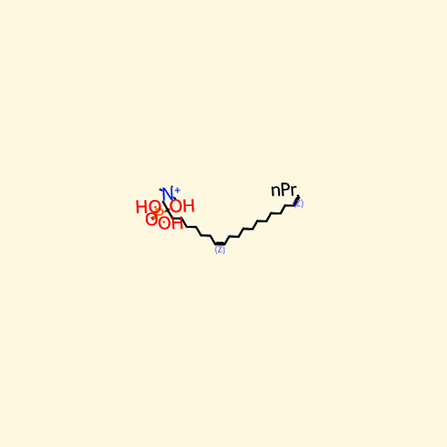 CCC/C=C\CCCCCCCCC/C=C\CCCCCCC(O)(C[N+](C)(C)C)P(=O)(O)O